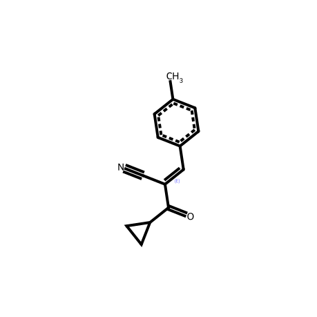 Cc1ccc(/C=C(\C#N)C(=O)C2CC2)cc1